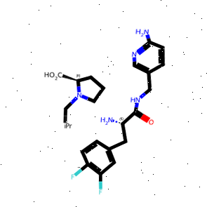 CC(C)CN1CCC[C@@H]1C(=O)O.Nc1ccc(CNC(=O)[C@@H](N)Cc2ccc(F)c(F)c2)cn1